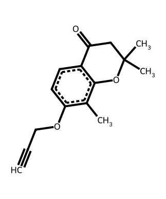 C#CCOc1ccc2c(c1C)OC(C)(C)CC2=O